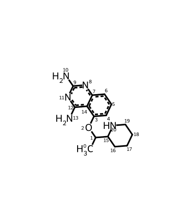 CC(Oc1cccc2nc(N)nc(N)c12)C1CCCCN1